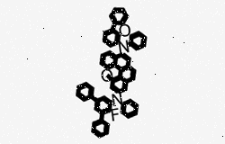 Fc1c(-c2ccccc2)cc(-c2ccccc2)cc1N(c1ccccc1)c1cc2c3c(ccc4cc(N(c5ccccc5)c5cccc6c5oc5ccccc56)c5cccc(c5c43)O2)c1